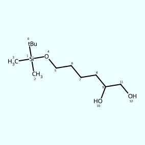 CC(C)(C)[Si](C)(C)OCCCCC(O)CO